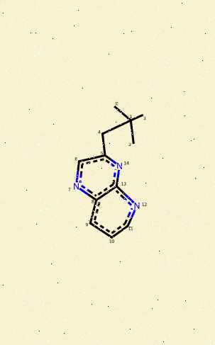 CC(C)(C)Cc1cnc2cccnc2n1